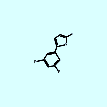 Cc1ccc(-c2cc(F)cc(F)c2)s1